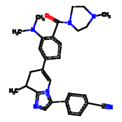 CC1CC(c2ccc(C(=O)N3CCN(C)CC3)c(N(C)C)c2)=Cn2c(-c3ccc(C#N)cc3)cnc21